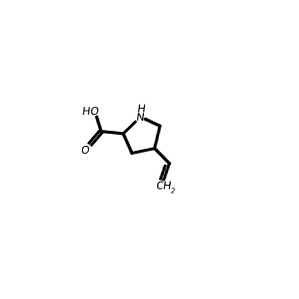 C=CC1CNC(C(=O)O)C1